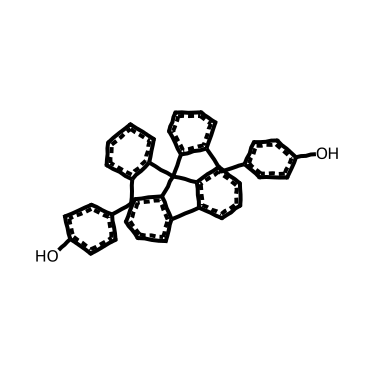 Oc1ccc(Cc2ccccc2C2(c3ccccc3Cc3ccc(O)cc3)c3ccccc3-c3ccccc32)cc1